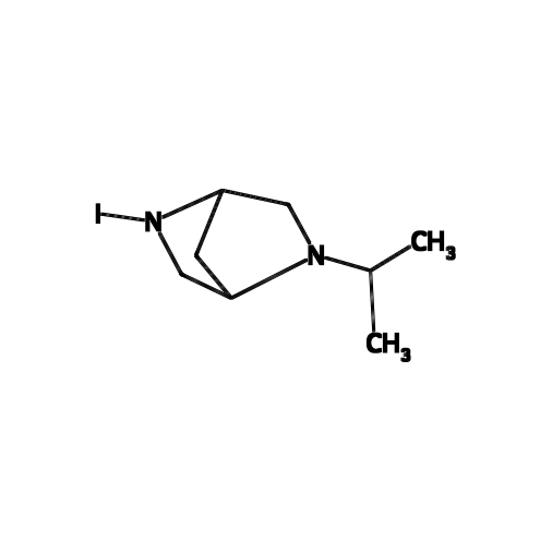 CC(C)N1CC2CC1CN2I